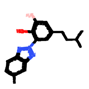 Bc1cc(CCC(C)C)cc(-n2nc3ccc(C)cc3n2)c1O